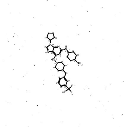 NC1CCC(Nc2nc(NN3CCC(Cc4cccc(C(F)(F)F)c4)CC3)c3ncn(C4CCCC4)c3n2)CC1